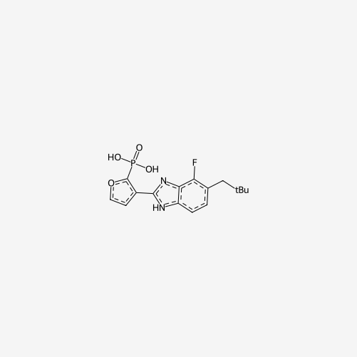 CC(C)(C)Cc1ccc2[nH]c(-c3ccoc3P(=O)(O)O)nc2c1F